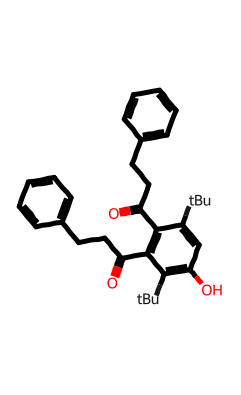 CC(C)(C)c1cc(O)c(C(C)(C)C)c(C(=O)CCc2ccccc2)c1C(=O)CCc1ccccc1